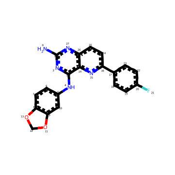 Nc1nc(Nc2ccc3c(c2)OCO3)c2nc(-c3ccc(F)cc3)ccc2n1